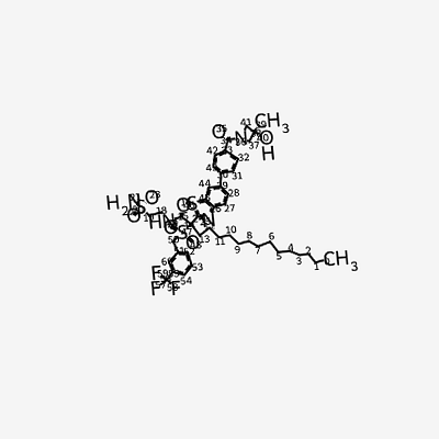 CCCCCCCCCCCCCCC(C(=O)NCCS(N)(=O)=O)(c1nc2ccc(-c3ccc(C(=O)N4CC(C)(O)C4)cc3)cc2s1)S(=O)(=O)Cc1cccc(C(F)(F)F)c1